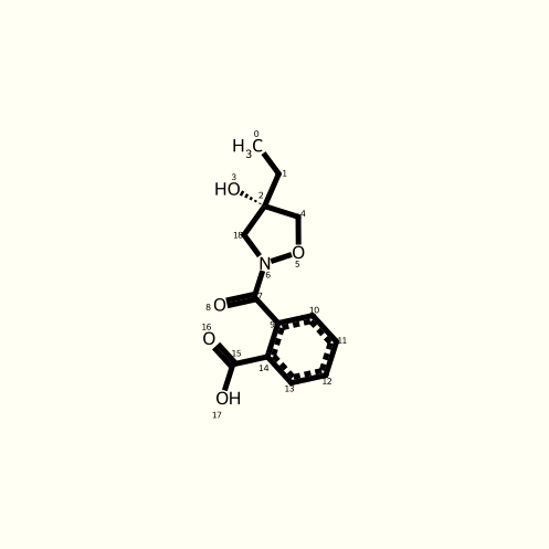 CC[C@@]1(O)CON(C(=O)c2ccccc2C(=O)O)C1